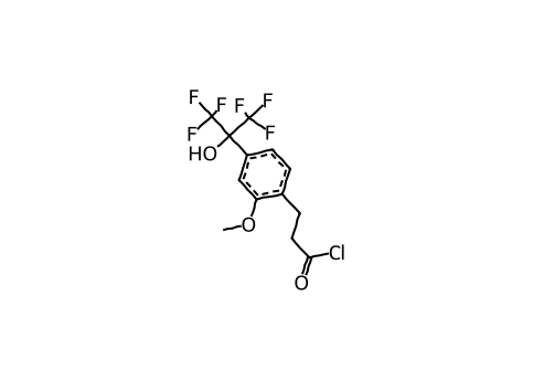 COc1cc(C(O)(C(F)(F)F)C(F)(F)F)ccc1CCC(=O)Cl